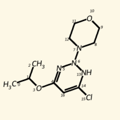 CC(C)OC1=NN(N2CCOCC2)NC(Cl)=C1